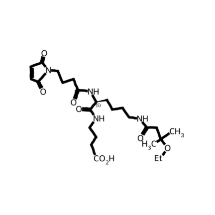 CCOC(C)(C)CC(=O)NCCCC[C@H](NC(=O)CCCN1C(=O)C=CC1=O)C(=O)NCCCC(=O)O